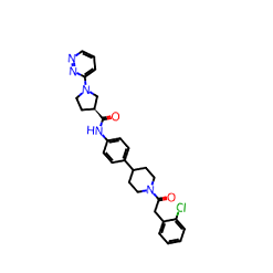 O=C(Nc1ccc(C2CCN(C(=O)Cc3ccccc3Cl)CC2)cc1)[C@H]1CCN(c2cccnn2)C1